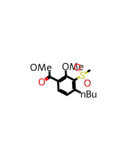 CCCCc1ccc(C(=O)OC)c(OC)c1S(C)(=O)=O